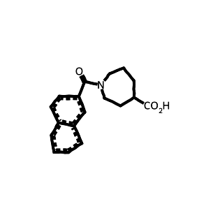 O=C(O)C1CCCN(C(=O)c2ccc3ccccc3c2)CC1